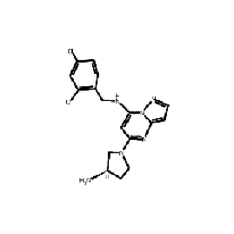 N[C@@H]1CCN(c2cc(NCc3ccc(Cl)cc3Cl)n3nccc3n2)C1